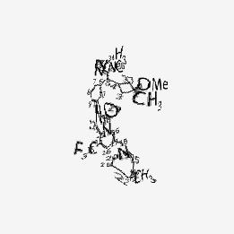 COC1(C)CC(C(c2cccc(-n3cc4c(C(F)(F)F)cc(CN5CCC[C@H](C)C5)cn4c3=O)c2)c2nncn2C)C1